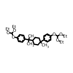 CCOC(OCC)Oc1ccc(C2(C)CCC(C(C)(C)c3ccc(OC(OCC)OCC)cc3)CC2)cc1